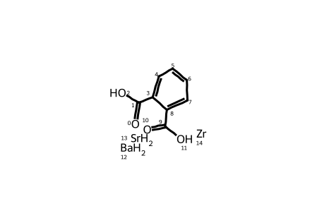 O=C(O)c1ccccc1C(=O)O.[BaH2].[SrH2].[Zr]